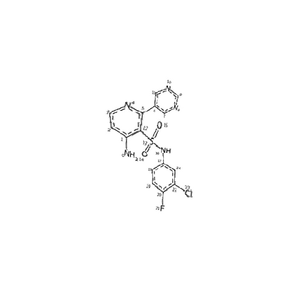 Nc1ccnc(-c2cncnc2)c1S(=O)(=O)Nc1ccc(F)c(Cl)c1